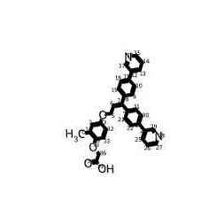 Cc1cc(OCC=C(c2ccc(-c3cccnc3)cc2)c2ccc(-c3cccnc3)cc2)ccc1OCC(=O)O